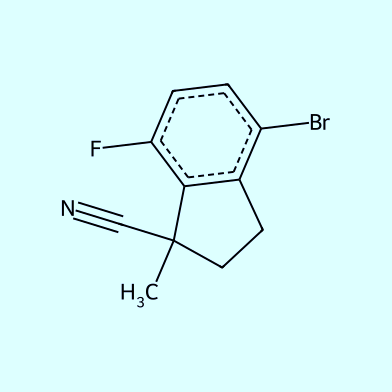 CC1(C#N)CCc2c(Br)ccc(F)c21